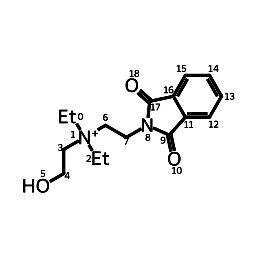 CC[N+](CC)(CCO)CCN1C(=O)c2ccccc2C1=O